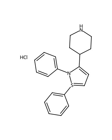 C1=C(C2CCNCC2)N(c2ccccc2)S(c2ccccc2)=C1.Cl